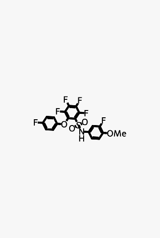 COc1ccc(NS(=O)(=O)c2c(F)c(F)c(F)c(F)c2Oc2ccc(F)cc2)cc1F